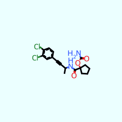 CC(C#Cc1ccc(Cl)c(Cl)c1)NC(=O)C1(OC(N)=O)CCCC1